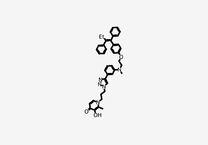 CC/C(=C(\c1ccccc1)c1ccc(OCCN(C)c2cccc(-c3cn(CCCn4ccc(=O)c(O)c4C)nn3)c2)cc1)c1ccccc1